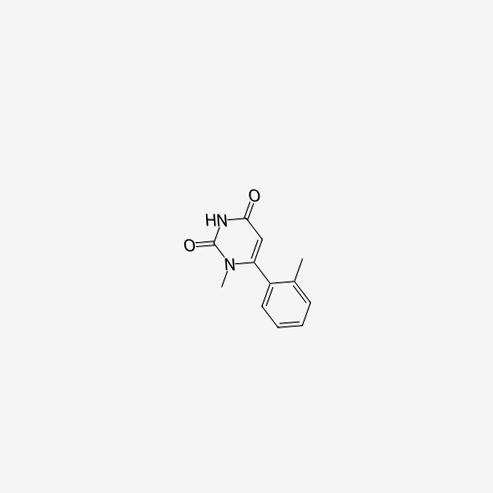 Cc1ccccc1-c1cc(=O)[nH]c(=O)n1C